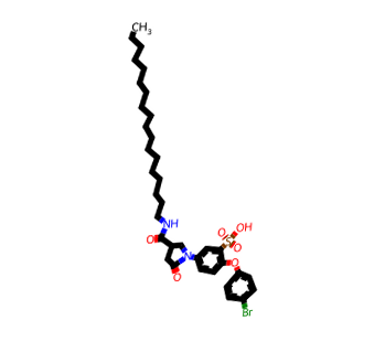 CCCCCCCCCCCCCCCCCCNC(=O)C1CC(=O)N(c2ccc(Oc3ccc(Br)cc3)c(S(=O)(=O)O)c2)C1